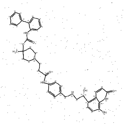 CC1(OC(=O)Nc2ccccc2-c2ccccc2)CCN(CCC(=O)Nc2ccc(CNC[C@H](O)c3ccc(O)c4[nH]c(=O)ccc34)cc2)CC1